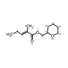 [CH2]/C(=C\CC)C(=O)OCC1CCCCO1